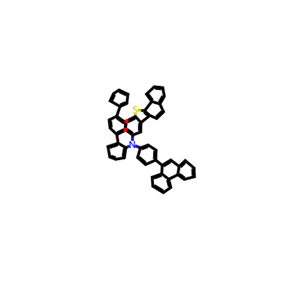 c1ccc(-c2ccc(-c3ccccc3N(c3ccc(-c4cc5ccccc5c5ccccc45)cc3)c3ccc4sc5c6ccccc6ccc5c4c3)cc2)cc1